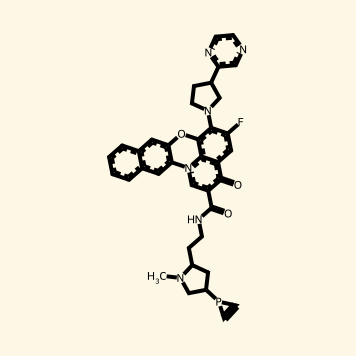 CN1CC(P2C#C2)CC1CCNC(=O)c1cn2c3c(c(N4CCC(c5cnccn5)C4)c(F)cc3c1=O)Oc1cc3ccccc3cc1-2